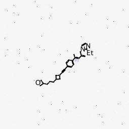 C=C(/C=C(\C)c1ccc(C#CC2CC(CCCC3COC3)C2)cc1)Cn1ccnc1CC